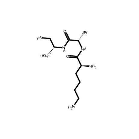 CC(C)[C@H](NC(=O)[C@@H](N)CCCCN)C(=O)N[C@@H](CS)C(=O)O